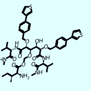 CC[C@H](C)[C@H](N)C(=O)OCO[C@H]([C@@H](O)[C@@H](OCc1ccc(-c2ccsc2)cc1)C(=O)N[C@H](C(=O)NC)C(C)C)[C@@H](OCc1ccc(-c2ccsc2)cc1)C(=O)N[C@H](C(=O)NC)C(C)C